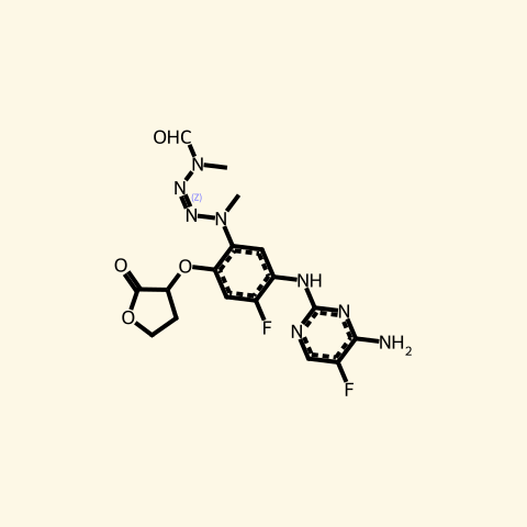 CN(C=O)/N=N\N(C)c1cc(Nc2ncc(F)c(N)n2)c(F)cc1OC1CCOC1=O